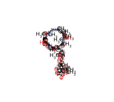 COC[C@H]1OC(=O)c2coc3c2[C@@]1(C)C1=C(C3=O)C2CC[C@H](OC(=O)CC(=O)O[C@@H]3CC[C@@H](C[C@@H](C)[C@@H]4CC(=O)[C@H](C)/C=C(\C)[C@@H](O)[C@@H](OC)C(=O)[C@H](C)C[C@H](C)/C=C/C=C/C=C(\C)[C@@H](OC)C[C@@H]5CC[C@@H](C)[C@@](O)(O5)C(=O)C(=O)N5CCCC[C@H]5C(=O)O4)C[C@H]3OC)[C@@]2(C)C[C@H]1OC(C)=O